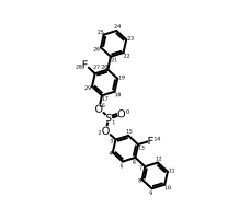 O=S(Oc1ccc(-c2ccccc2)c(F)c1)Oc1ccc(-c2ccccc2)c(F)c1